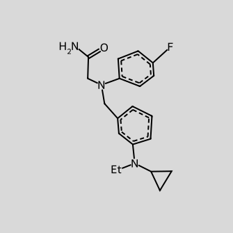 CCN(c1cccc(CN(CC(N)=O)c2ccc(F)cc2)c1)C1CC1